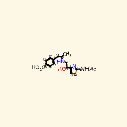 CC(=O)Nc1nc(C(O)CNC(C)Cc2ccc(C(=O)O)cc2)cs1